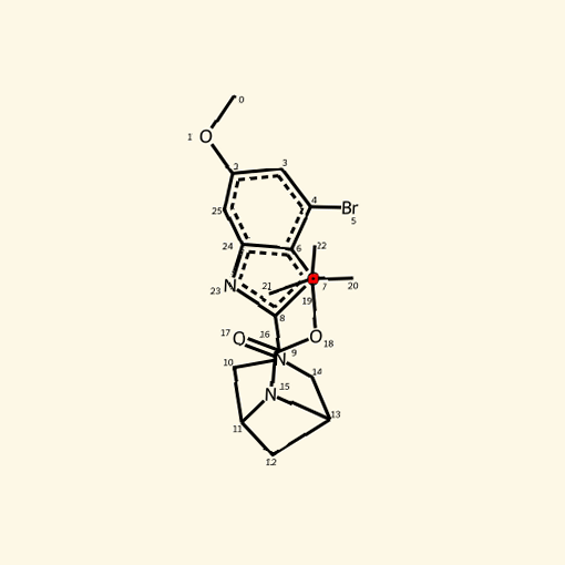 COc1cc(Br)c2oc(N3CC4CC(C3)N4C(=O)OC(C)(C)C)nc2c1